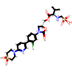 CC(C)[C@@H](NCS(=O)(=O)O)C(=O)OC[C@H]1CN(c2ccc(-c3ccc(N4CCS(=O)(=O)CC4)nc3)c(F)c2)C(=O)O1